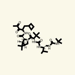 CC(=O)C(=O)C(CC1CCC1)NC(=O)[C@@H]1[C@@H]2[C@H](CN1C(=O)[C@@H](NC(=O)N[C@H](CNC(=O)NC(C)(C)C)C(C)C)C(C)(C)C)C2(C)C